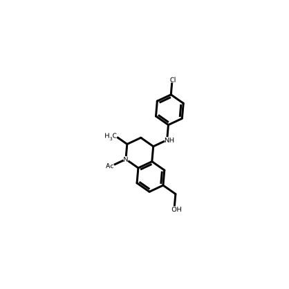 CC(=O)N1c2ccc(CO)cc2C(Nc2ccc(Cl)cc2)CC1C